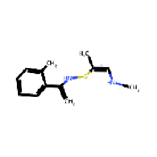 C=C(NS/C(C)=C\NC)c1ccccc1C